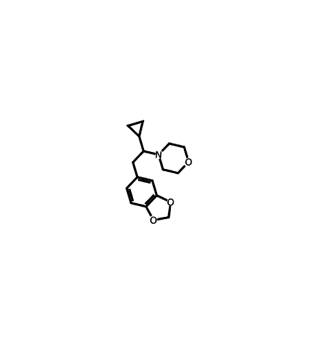 c1cc2c(cc1CC(C1CC1)N1CCOCC1)OCO2